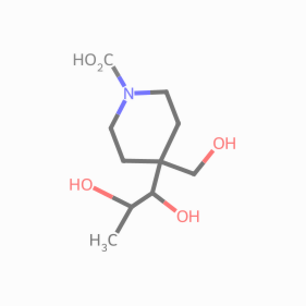 CC(O)C(O)C1(CO)CCN(C(=O)O)CC1